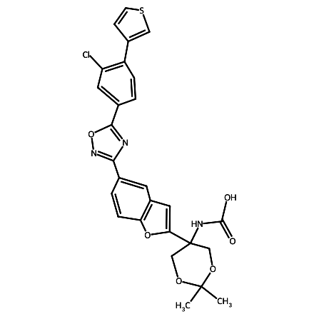 CC1(C)OCC(NC(=O)O)(c2cc3cc(-c4noc(-c5ccc(-c6ccsc6)c(Cl)c5)n4)ccc3o2)CO1